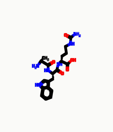 C[C@@H](N)C(=O)N[C@@H](Cc1c[nH]c2ccccc12)C(=O)N[C@@H](CCCNC(N)=O)C(=O)O